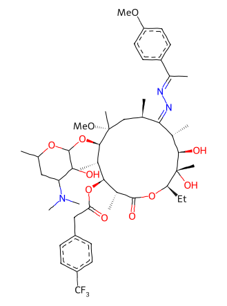 CC[C@H]1OC(=O)[C@H](C)[C@@H](OC(=O)Cc2ccc(C(F)(F)F)cc2)[C@H](C)[C@@H](OC2OC(C)CC(N(C)C)C2O)[C@](C)(OC)C[C@@H](C)/C(=N\N=C(/C)c2ccc(OC)cc2)[C@H](C)[C@@H](O)[C@]1(C)O